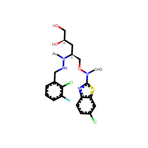 CC(=O)N(NCc1cccc(F)c1Cl)[C@H](CON(C=O)c1nc2ccc(Cl)cc2s1)C[C@@H](O)CO